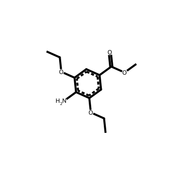 CCOc1cc(C(=O)OC)cc(OCC)c1N